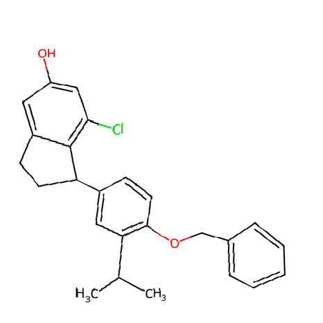 CC(C)c1cc(C2CCc3cc(O)cc(Cl)c32)ccc1OCc1ccccc1